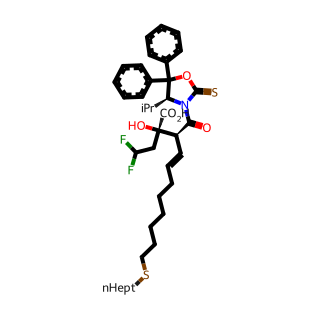 CCCCCCCSCCCCCC/C=C/[C@H](C(=O)N1C(=S)OC(c2ccccc2)(c2ccccc2)[C@@H]1C(C)C)[C@@](O)(CC(F)F)C(=O)O